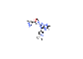 Cc1cc(C2CN(c3nc(-c4ccc(C(F)(F)F)nc4)c4nc(C)c(C)nc4n3)CCO2)cnn1